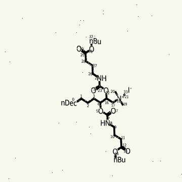 CCCCCCCCCCCCCC(OC(=O)NCCCC(=O)OCCCC)C(C[N+](C)(C)C)OC(=O)NCCCC(=O)OCCCC.[I-]